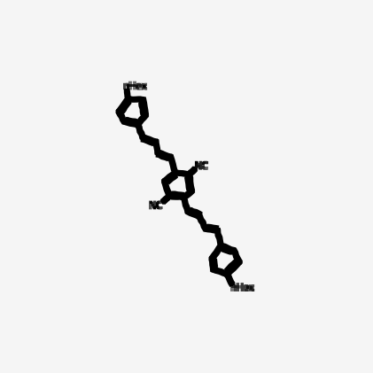 [C-]#[N+]c1cc(/C=C/C=C/c2ccc(CCCCCC)cc2)c(C#N)cc1/C=C/C=C/c1ccc(CCCCCC)cc1